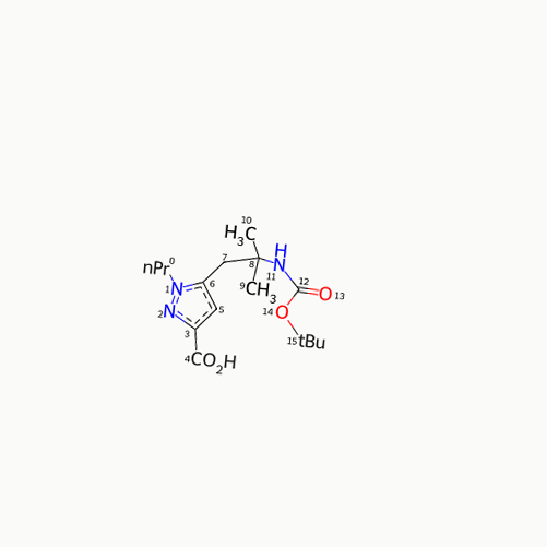 CCCn1nc(C(=O)O)cc1CC(C)(C)NC(=O)OC(C)(C)C